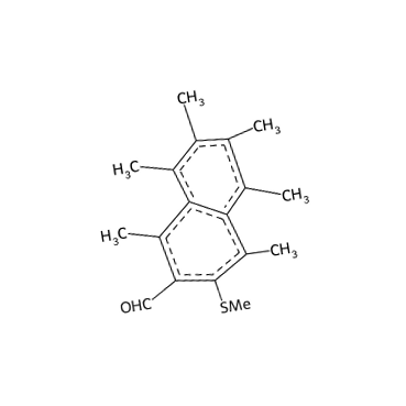 CSc1c(C=O)c(C)c2c(C)c(C)c(C)c(C)c2c1C